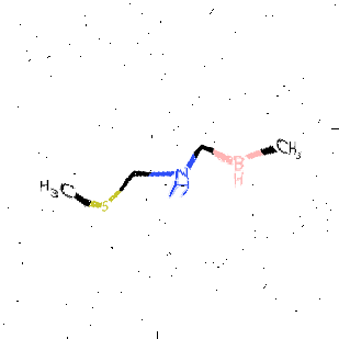 CBCNCSC